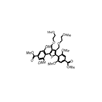 COCCOCc1c(-c2c(OC)cc(C(=O)OC)cc2OC)sc(-c2c(OC)cc(C(=O)OC)cc2OC)c1COCCOC